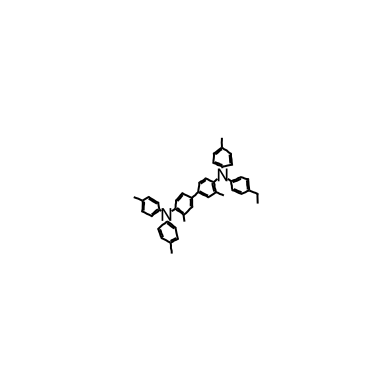 CCc1ccc(N(c2ccc(C)cc2)c2ccc(-c3ccc(N(c4ccc(C)cc4)c4ccc(C)cc4)c(C)c3)cc2C)cc1